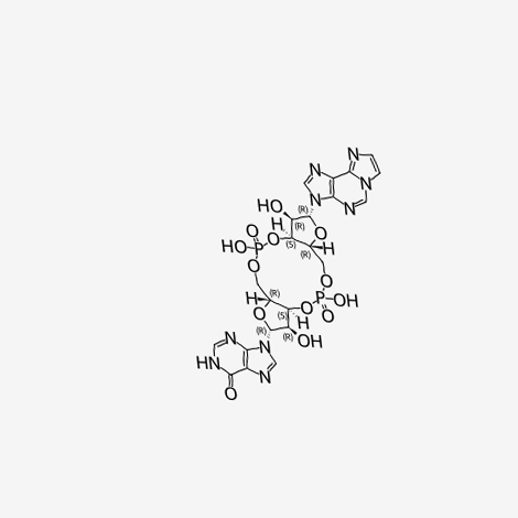 O=c1[nH]cnc2c1ncn2[C@@H]1O[C@@H]2COP(=O)(O)O[C@H]3[C@@H](O)[C@H](n4cnc5c4ncn4ccnc54)O[C@@H]3COP(=O)(O)O[C@H]2[C@H]1O